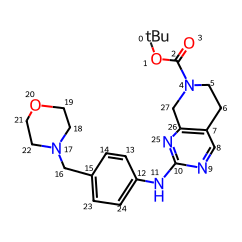 CC(C)(C)OC(=O)N1CCc2cnc(Nc3ccc(CN4CCOCC4)cc3)nc2C1